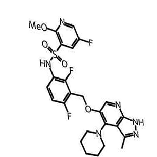 COc1ncc(F)cc1S(=O)(=O)Nc1ccc(F)c(COc2cnc3[nH]nc(C)c3c2N2CCCCC2)c1F